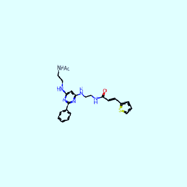 CC(=O)NCCNc1cc(NCCNC(=O)C=Cc2cccs2)nc(-c2ccccc2)n1